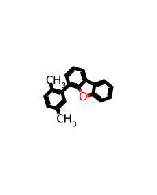 Cc1ccc(C)c(-c2cccc3c2oc2ccccc23)c1